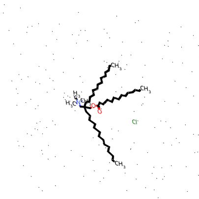 CCCCCCCCCCCCCCC(CCCCCCCCCCCCCC)(COC(=O)CCCCCCCCCCCCC)C[N+](C)(C)C.[Cl-]